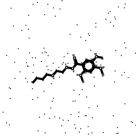 CCCCOC[CH]OOC(=O)c1cc(OC)c(OC)cc1OC